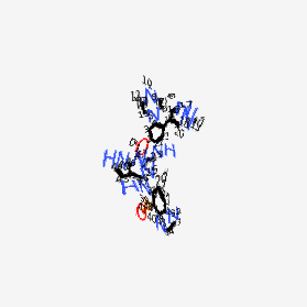 COc1cc(N2C[C@@H](C)N(C)[C@@H](C)C2)c(-c2cnn(C)c2)cc1Nc1nc(Nc2ccc3nccnc3c2P(C)(C)=O)c2cc[nH]c2n1